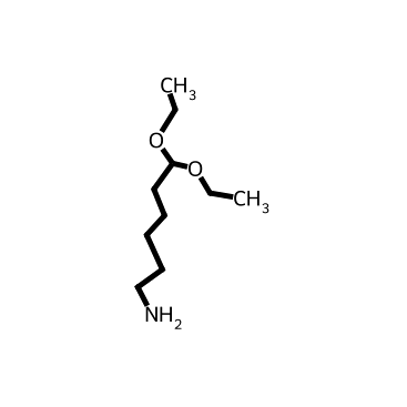 CCOC(CCCCCN)OCC